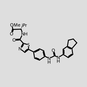 COC(=O)[C@@H](NC(=O)c1ncc(-c2ccc(NC(=O)Nc3ccc4c(c3)CCC4)cc2)s1)C(C)C